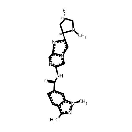 Cc1nn(C)c2cc(C(=O)Nc3cn4cc([C@H]5C[C@H](F)CN5C)nc4cn3)ccc12